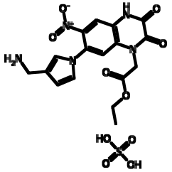 CCOC(=O)Cn1c(=O)c(=O)[nH]c2cc([N+](=O)[O-])c(-n3ccc(CN)c3)cc21.O=S(=O)(O)O